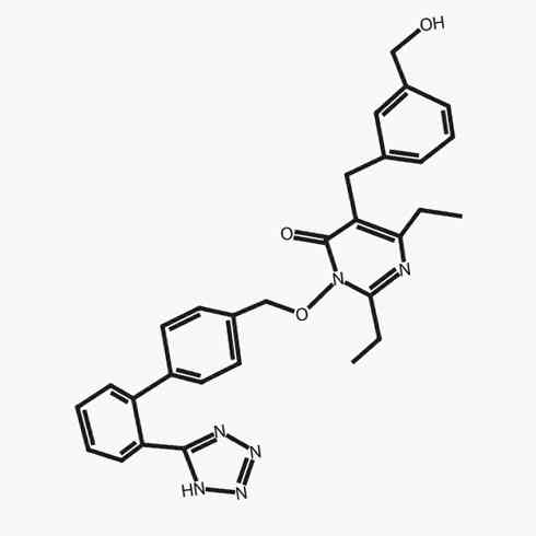 CCc1nc(CC)n(OCc2ccc(-c3ccccc3-c3nnn[nH]3)cc2)c(=O)c1Cc1cccc(CO)c1